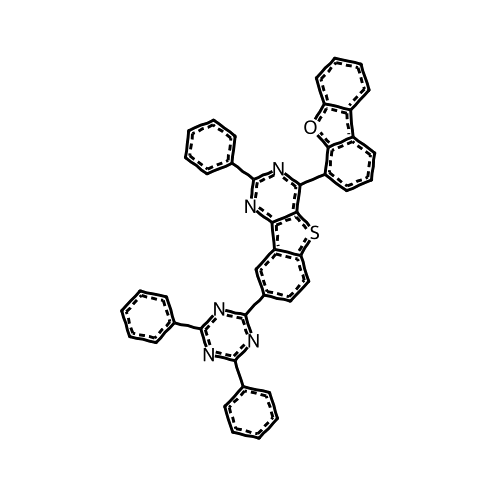 c1ccc(-c2nc(-c3ccccc3)nc(-c3ccc4sc5c(-c6cccc7c6oc6ccccc67)nc(-c6ccccc6)nc5c4c3)n2)cc1